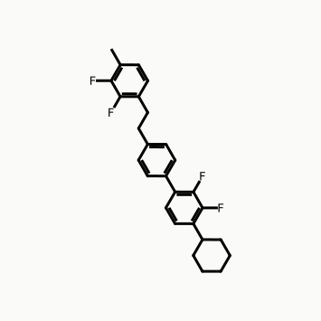 Cc1ccc(CCc2ccc(-c3ccc(C4CCCCC4)c(F)c3F)cc2)c(F)c1F